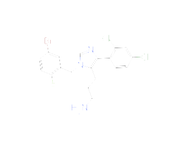 NCCCc1c(-c2ccc(Cl)cc2Cl)ncn1Cc1cc(Br)ccc1F